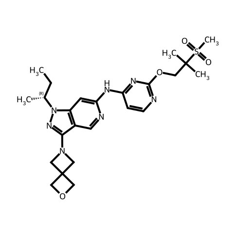 CC[C@@H](C)n1nc(N2CC3(COC3)C2)c2cnc(Nc3ccnc(OCC(C)(C)S(C)(=O)=O)n3)cc21